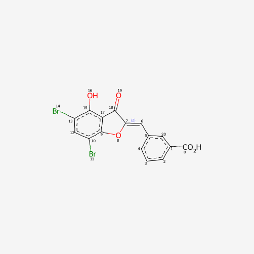 O=C(O)c1cccc(/C=C2\Oc3c(Br)cc(Br)c(O)c3C2=O)c1